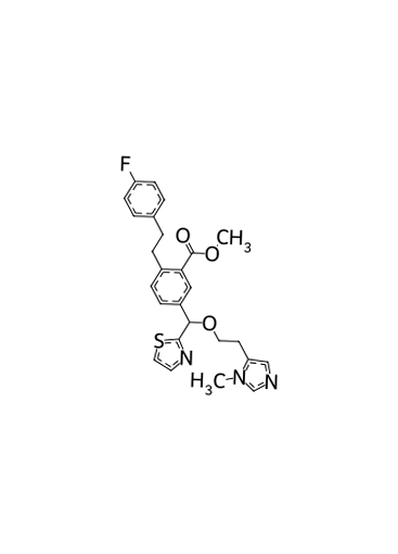 COC(=O)c1cc(C(OCCc2cncn2C)c2nccs2)ccc1CCc1ccc(F)cc1